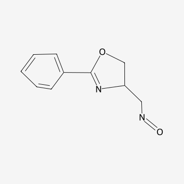 O=NCC1COC(c2ccccc2)=N1